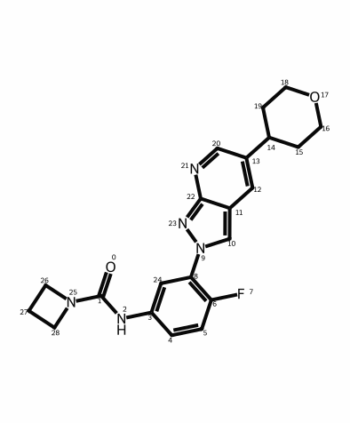 O=C(Nc1ccc(F)c(-n2cc3cc(C4CCOCC4)cnc3n2)c1)N1CCC1